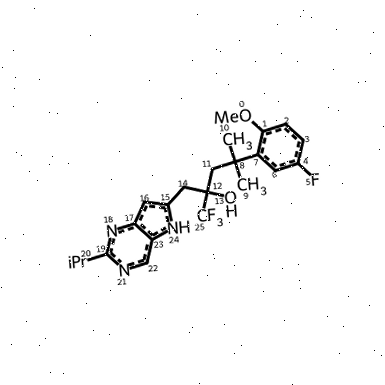 COc1ccc(F)cc1C(C)(C)CC(O)(Cc1cc2nc(C(C)C)ncc2[nH]1)C(F)(F)F